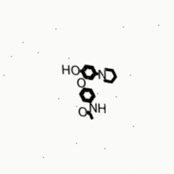 CC(=O)Nc1ccc(Oc2cc(N3CCCCC3)ccc2O)cc1